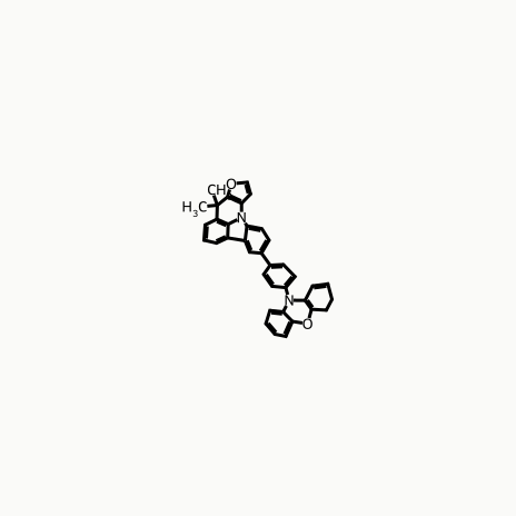 CC1(C)c2occc2-n2c3ccc(-c4ccc(N5C6=C(CCC=C6)Oc6ccccc65)cc4)cc3c3cccc1c32